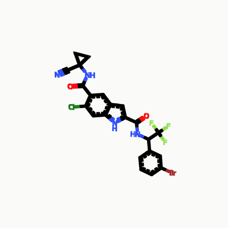 N#CC1(NC(=O)c2cc3cc(C(=O)NC(c4cccc(Br)c4)C(F)(F)F)[nH]c3cc2Cl)CC1